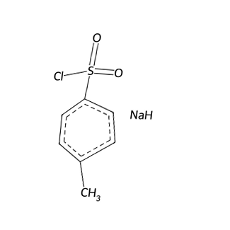 Cc1ccc(S(=O)(=O)Cl)cc1.[NaH]